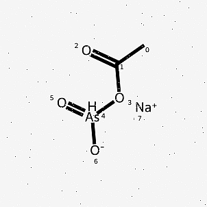 CC(=O)O[AsH](=O)[O-].[Na+]